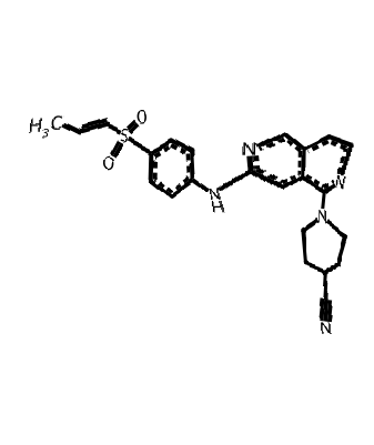 C/C=C/S(=O)(=O)c1ccc(Nc2cc3c(N4CCC(C#N)CC4)nccc3cn2)cc1